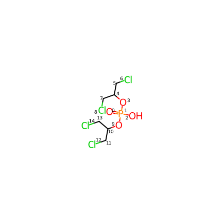 O=P(O)(OC(CCl)CCl)OC(CCl)CCl